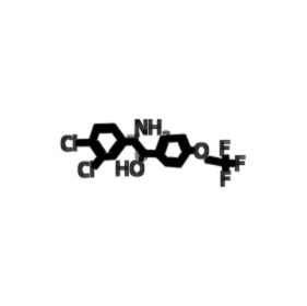 N[C@@H](c1ccc(Cl)c(Cl)c1)[C@H](O)c1ccc(OCC(F)(F)F)cc1